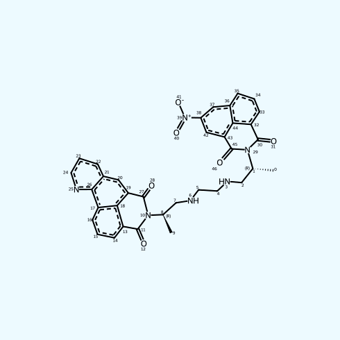 C[C@H](CNCCNC[C@@H](C)N1C(=O)c2cccc3c2c(cc2cccnc23)C1=O)N1C(=O)c2cccc3cc([N+](=O)[O-])cc(c23)C1=O